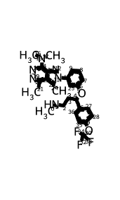 CNCCC(Oc1cccc(-n2nc3c(N(C)C)nnc(C)c3c2C)c1)c1ccc(OC(F)(F)F)cc1